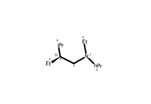 CCCN(CC)C[C@@H](CC)C(C)C